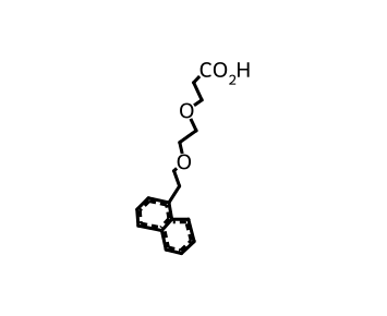 O=C(O)CCOCCOCCc1cccc2ccccc12